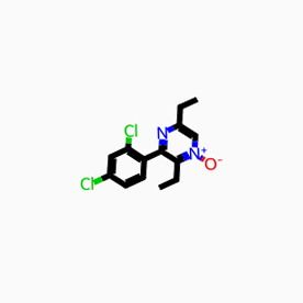 CCc1c[n+]([O-])c(CC)c(-c2ccc(Cl)cc2Cl)n1